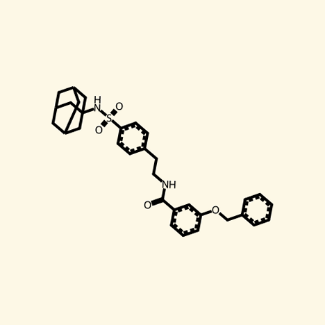 O=C(NCCc1ccc(S(=O)(=O)NC23CC4CC(CC(C4)C2)C3)cc1)c1cccc(OCc2ccccc2)c1